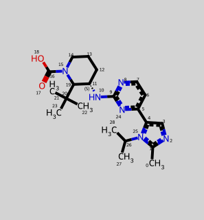 Cc1ncc(-c2ccnc(N[C@H]3CCCN(C(=O)O)C3C(C)(C)C)n2)n1C(C)C